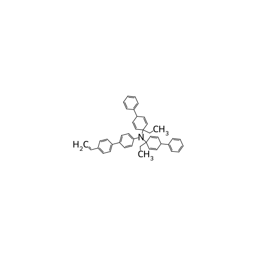 C=Cc1ccc(-c2ccc(N(C3(CC)C=CC(c4ccccc4)C=C3)C3(CC)C=CC(c4ccccc4)C=C3)cc2)cc1